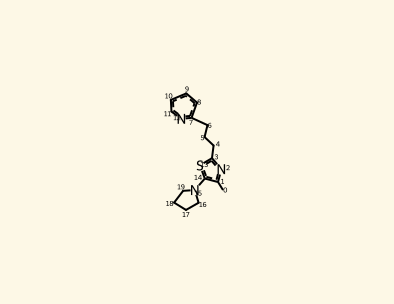 Cc1nc(CCCc2ccccn2)sc1N1CCCC1